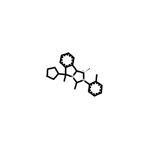 Cc1ccccc1N1C(C)N2C(c3ccccc3C2(C)C2CCCC2)[C@@H]1C